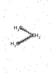 [CH2]C(CCCCCCCCCCCCC)CCCCCCCCCCCCCCCC